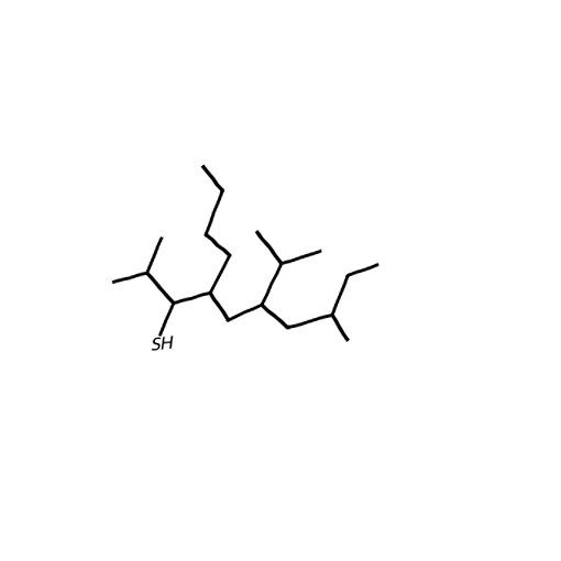 CCCCC(CC(CC(C)CC)C(C)C)C(S)C(C)C